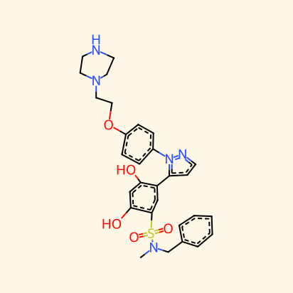 CN(Cc1ccccc1)S(=O)(=O)c1cc(-c2ccnn2-c2ccc(OCCN3CCNCC3)cc2)c(O)cc1O